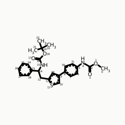 COC(=O)Nc1ccc(-c2csc(CC(NC(=O)OC(C)(C)C)c3ccccc3)c2)cc1